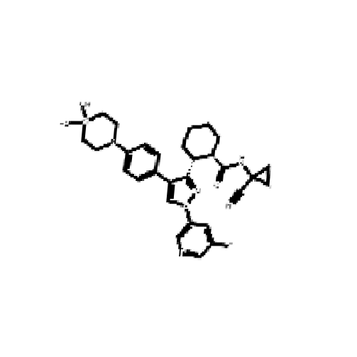 N#CC1(NC(=O)[C@@H]2CCCC[C@H]2c2nn(-c3cncc(F)c3)cc2-c2ccc(N3CCS(O)(O)CC3)cc2)CC1